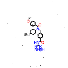 CC(C)Oc1ccc(C(=O)N(Cc2ccc(C(=O)N/C(N=N)=N/N)cc2)C2CCC(C(C)(C)C)CC2)cc1